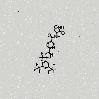 O=C(NC1CONC1=O)c1cnc(C2=NCC(c3cc(C(F)(F)F)cc(C(F)(F)F)c3)(C(F)(F)F)C2)nc1